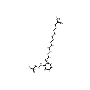 O=C(O)CCCCCCCCCCCCOc1ccccc1SCCC(=O)O